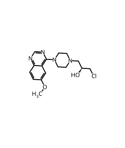 COc1ccc2ncnc(N3CCN(C[C@H](O)CCl)CC3)c2c1